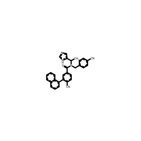 CC(c1cnc[nH]1)N(Cc1ccc(C#N)cc1)C(=O)c1ccc(C#N)c(-c2cccc3ccccc23)c1